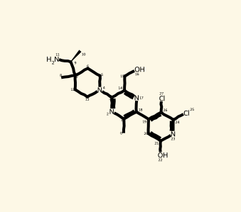 Cc1nc(N2CCC(C)([C@H](C)N)CC2)c(CO)nc1-c1cc(O)nc(Cl)c1Cl